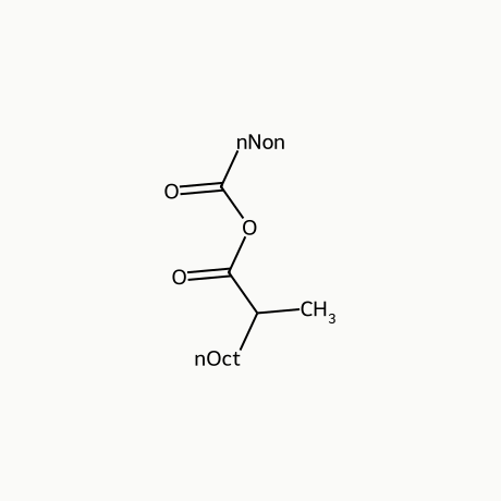 CCCCCCCCCC(=O)OC(=O)C(C)CCCCCCCC